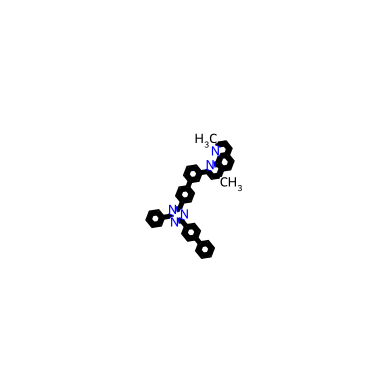 Cc1ccc2ccc3c(C)cc(-c4cccc(-c5ccc(-c6nc(-c7ccccc7)nc(-c7ccc(-c8ccccc8)cc7)n6)cc5)c4)nc3c2n1